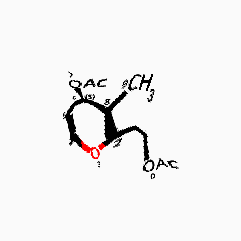 CC(=O)OCC1OC=C[C@@H](OC(C)=O)C1C